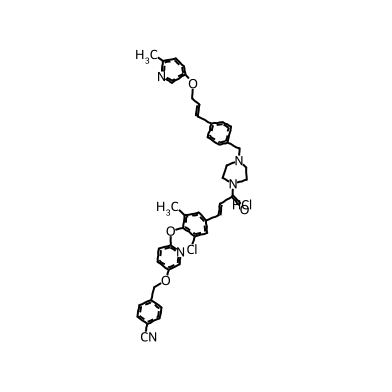 Cc1ccc(OCC=Cc2ccc(CN3CCN(C(=O)C=Cc4cc(C)c(Oc5ccc(OCc6ccc(C#N)cc6)cn5)c(Cl)c4)CC3)cc2)cn1.Cl